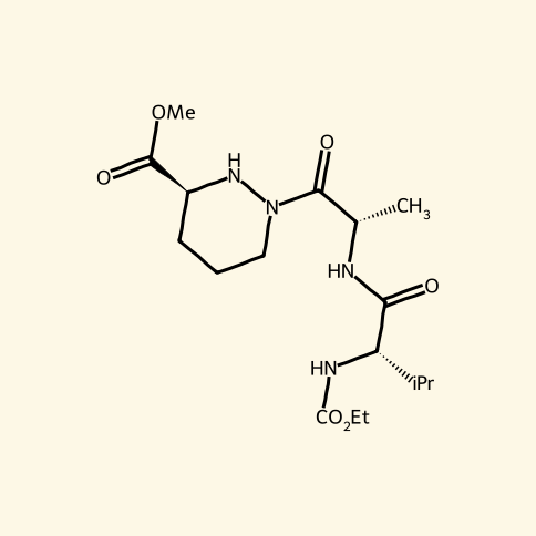 CCOC(=O)N[C@H](C(=O)N[C@@H](C)C(=O)N1CCC[C@@H](C(=O)OC)N1)C(C)C